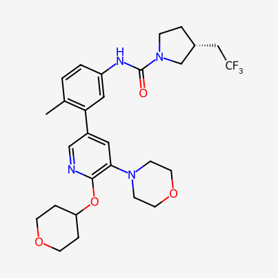 Cc1ccc(NC(=O)N2CC[C@H](CC(F)(F)F)C2)cc1-c1cnc(OC2CCOCC2)c(N2CCOCC2)c1